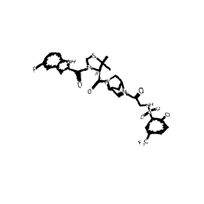 CC1(C)SCN(C(=O)c2cc3cc(F)ccc3[nH]2)[C@@H]1C(=O)N1CC2CC1CN2C(=O)CNS(=O)(=O)c1cc(C(F)(F)F)ccc1Cl